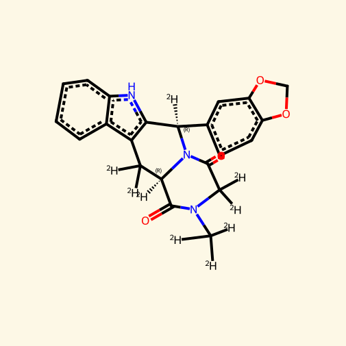 [2H]C([2H])([2H])N1C(=O)[C@]2([2H])N(C(=O)C1([2H])[2H])[C@]([2H])(c1ccc3c(c1)OCO3)c1[nH]c3ccccc3c1C2([2H])[2H]